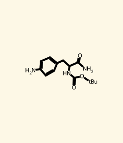 CC(C)(C)OC(=O)NC(Cc1ccc(N)cc1)C(N)=O